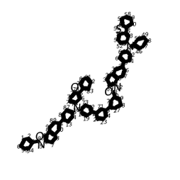 c1ccc(-c2nc3ccc4cc(-c5ccc(N(c6ccc(-c7cccc(-c8cccc(-c9nc%10c(ccc%11cc(-c%12ccc(N(c%13ccccc%13)c%13ccc%14sc%15ccccc%15c%14c%13)cc%12)ccc%11%10)o9)c8)c7)cc6)c6ccc7oc8ccccc8c7c6)cc5)ccc4c3o2)cc1